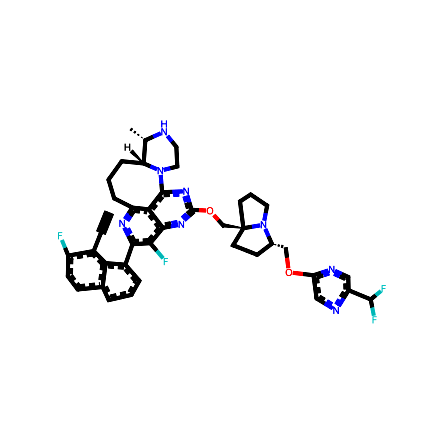 C#Cc1c(F)ccc2cccc(-c3nc4c5c(nc(OC[C@@]67CCCN6[C@H](COc6cnc(C(F)F)cn6)CC7)nc5c3F)N3CCN[C@@H](C)[C@H]3CCC4)c12